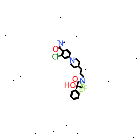 CN(C)C(=O)c1ccc(N2CCC(CCCN(C)C(=O)C(O)(c3ccccc3)C(F)(F)F)CC2)cc1Cl